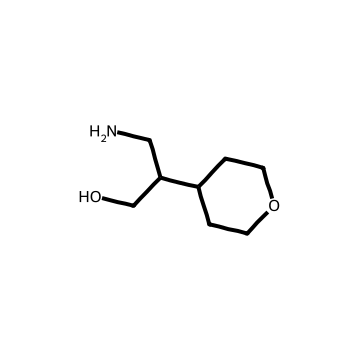 NCC(CO)C1CCOCC1